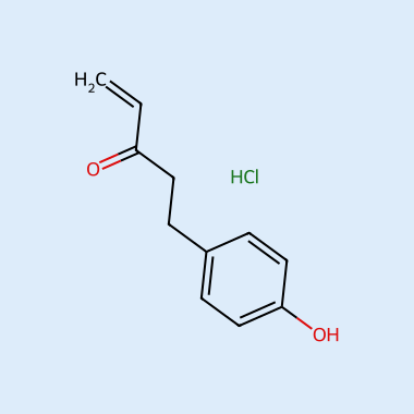 C=CC(=O)CCc1ccc(O)cc1.Cl